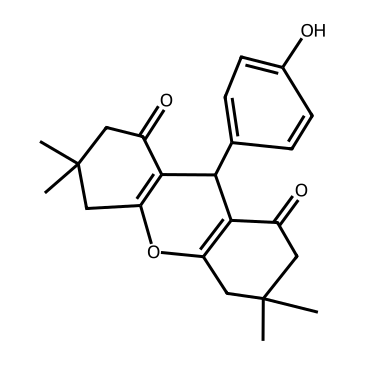 CC1(C)CC(=O)C2=C(C1)OC1=C(C(=O)CC(C)(C)C1)C2c1ccc(O)cc1